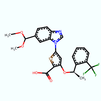 COC(OC)c1ccc2ncn(-c3cc(O[C@H](C)c4ccccc4C(F)(F)F)c(C(=O)O)s3)c2c1